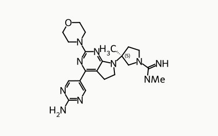 CNC(=N)N1CC[C@](C)(N2CCc3c(-c4cnc(N)nc4)nc(N4CCOCC4)nc32)C1